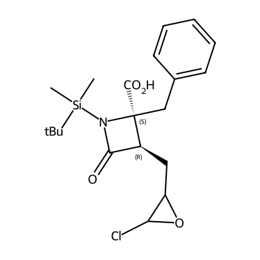 CC(C)(C)[Si](C)(C)N1C(=O)[C@H](CC2OC2Cl)[C@@]1(Cc1ccccc1)C(=O)O